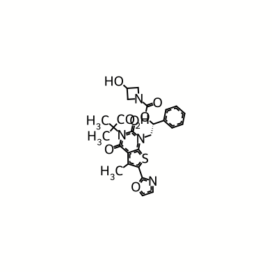 Cc1c(-c2ncco2)sc2c1c(=O)n(C(C)(C)C(=O)O)c(=O)n2C[C@H](OC(=O)N1CC(O)C1)c1ccccc1